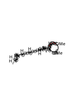 CO[C@H]1C[C@@H]2CC[C@@H](C)[C@@](O)(O2)C(=O)C(=O)N2CCCC[C@H]2C(=O)O[C@H]([C@H](N)C[C@@H]2CC[C@H](n3cc(CCCC(=O)NCCOCCOCCOCCC(=O)NCCOCCOCCC(=O)NCCCCn4nc(-c5ccc6oc(N)nc6c5)c5c(N)ncnc54)nn3)[C@H](OC)C2)CC(=O)[C@H](C)/C=C(\C)[C@@H](O)[C@@H](OC)C(=O)[C@H](C)C[C@H](C)/C=C/C=C/C=C/1C